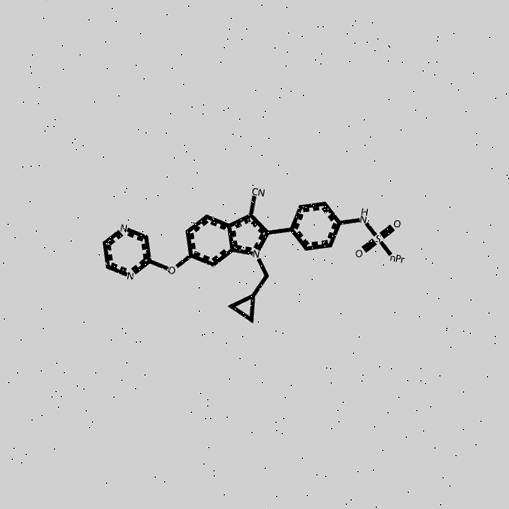 CCCS(=O)(=O)Nc1ccc(-c2c(C#N)c3ccc(Oc4cnccn4)cc3n2CC2CC2)cc1